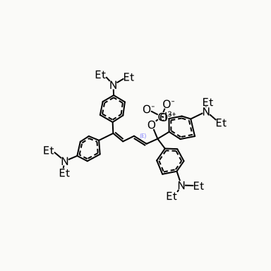 CCN(CC)c1ccc(C(=C/C=C/C(O[Cl+3]([O-])([O-])[O-])(c2ccc(N(CC)CC)cc2)c2ccc(N(CC)CC)cc2)c2ccc(N(CC)CC)cc2)cc1